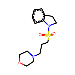 O=S(=O)(CCCN1CCOCC1)N1CCc2c[c]ccc21